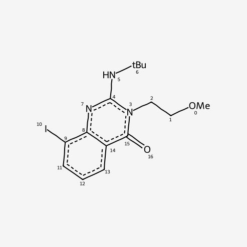 COCCn1c(NC(C)(C)C)nc2c(I)cccc2c1=O